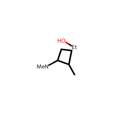 CCO.CNC1CCC1C